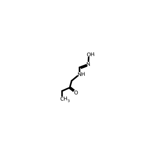 CCC(=O)CNC=NO